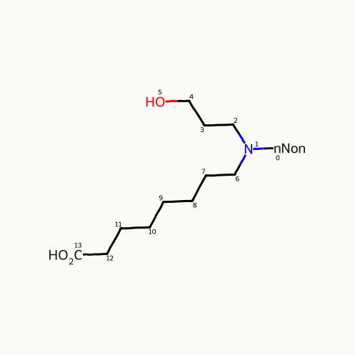 CCCCCCCCCN(CCCO)CCCCCCCC(=O)O